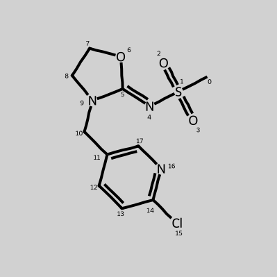 CS(=O)(=O)N=C1OCCN1Cc1ccc(Cl)nc1